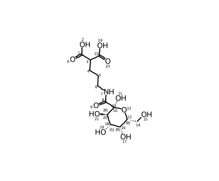 O=C(O)C(CCCNC(=O)[C@@]1(O)O[C@H](CO)[C@H](O)[C@H](O)[C@H]1O)C(=O)O